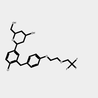 OCC1CC(O)CC(c2ccc(Cl)c(Cc3ccc(OCCOCC(F)(F)F)cc3)c2)O1